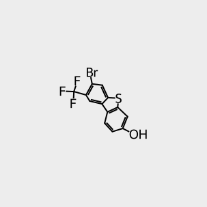 Oc1ccc2c(c1)sc1cc(Br)c(C(F)(F)F)cc12